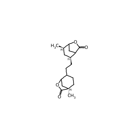 C[C@@H]1C[C@H](CCC2CC[C@]3(C)CC2OC3=O)C2CC1OC2=O